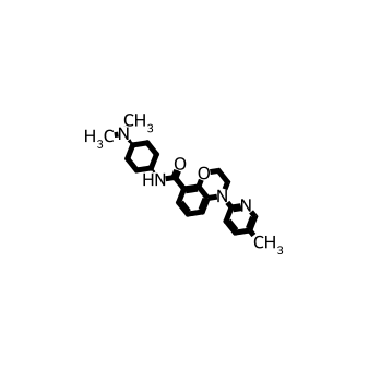 Cc1ccc(N2CCOc3c(C(=O)N[C@H]4CC[C@H](N(C)C)CC4)cccc32)nc1